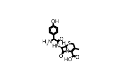 CC1=C(C(=O)O)N2C(=O)[C@@H](NC(=O)C(N)c3ccc(O)cc3)[C@H]2SC1